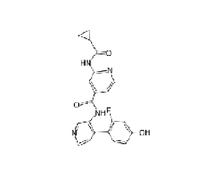 O=C(Nc1cnccc1-c1ccc(O)cc1F)c1ccnc(NC(=O)C2CC2)c1